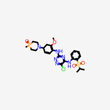 COC1=C(Nc2nnc(Cl)c(Nc3ccccc3S(=O)(=O)C(C)C)n2)C=CC(N2CCP(C)(=O)CC2)C1